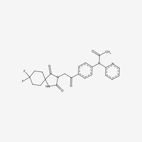 CC(=O)N(c1ccc(C(=O)CN2C(=O)NC3(CCC(F)(F)CC3)C2=O)cc1)c1ccccn1